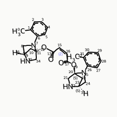 Cc1ccccc1N1C[C@@H]2C[C@]1(OC(=O)/C=C\C(=O)O[C@@]13CN[C@H](CN1c1ccccc1C)C3)CN2